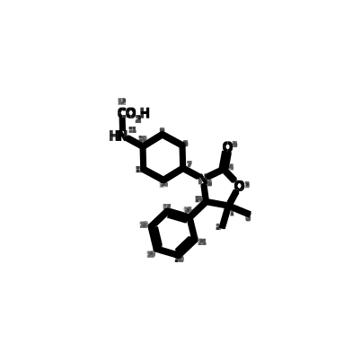 CC1(C)OC(=O)N(C2CCC(NC(=O)O)CC2)C1c1ccccc1